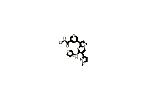 CCNC(=O)c1cncc(-c2cnn3cc(-c4ccn(C)n4)c(N[C@H]4CCOC4)nc23)c1